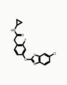 O=C(Cc1ccc(Oc2nc3ccc(Cl)cc3s2)cc1F)NC1CC1